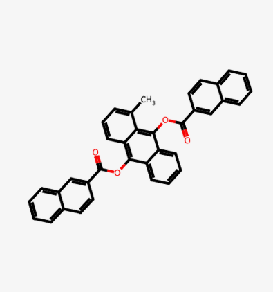 Cc1cccc2c(OC(=O)c3ccc4ccccc4c3)c3ccccc3c(OC(=O)c3ccc4ccccc4c3)c12